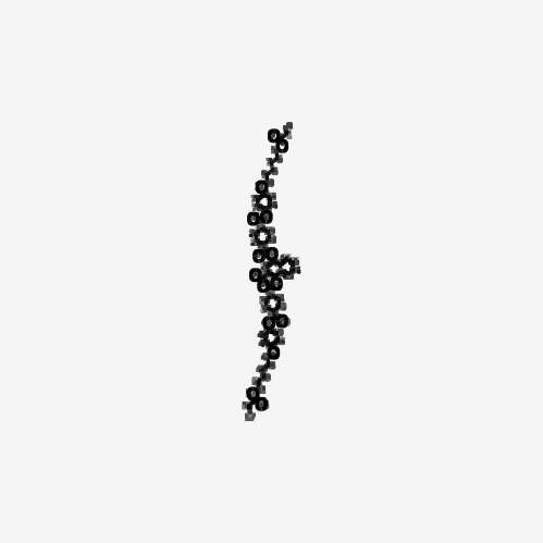 C=CC(=O)OCCCCCCOc1ccc(OC(=O)[C@H]2CC[C@H](C(=O)Oc3cc(C=O)c(OC(=O)[C@H]4CC[C@H](C(=O)Oc5ccc(OCCCCCCOC(=O)C=C)cc5)CC4)c4ccccc34)CC2)cc1